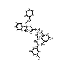 O=C(CC(O)(COc1ccccc1)c1ccccc1)N[C@H](CCNCc1cccc(I)c1)Cc1cc(F)cc(F)c1